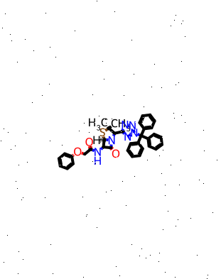 CC1(C)S[C@@H]2C(NC(=O)COc3ccccc3)C(=O)N2C1c1nnn(C(c2ccccc2)(c2ccccc2)c2ccccc2)n1